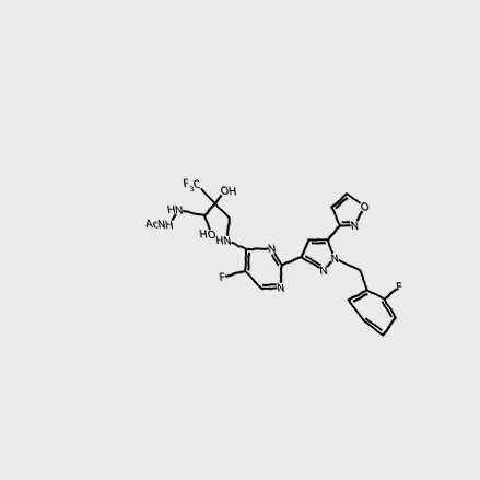 CC(=O)NNC(O)C(O)(CNc1nc(-c2cc(-c3ccon3)n(Cc3ccccc3F)n2)ncc1F)C(F)(F)F